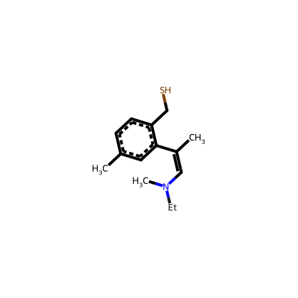 CCN(C)/C=C(/C)c1cc(C)ccc1CS